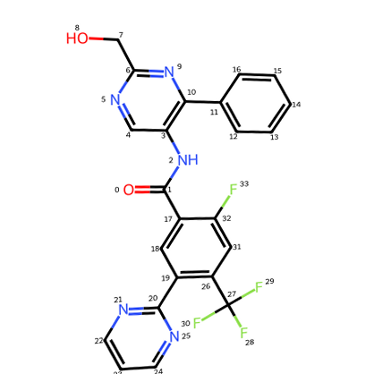 O=C(Nc1cnc(CO)nc1-c1ccccc1)c1cc(-c2ncccn2)c(C(F)(F)F)cc1F